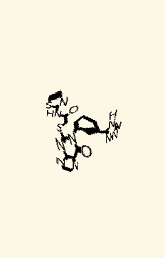 O=C(CSc1nc2nccnc2c(=O)n1-c1cccc(-c2nnn[nH]2)c1)Nc1nccs1